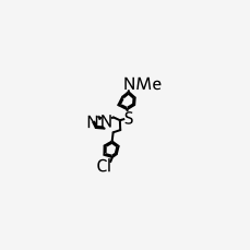 CNc1ccc(SC(CCc2ccc(Cl)cc2)Cn2ccnc2)cc1